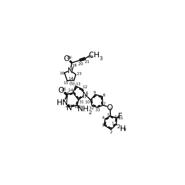 [2H]c1cccc(Oc2ccc(-n3cc([C@@H]4CCN(C(=O)C#CC)C4)c4c(=O)[nH]nc(N)c43)cc2)c1F